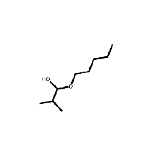 CCCCCOC(O)C(C)C